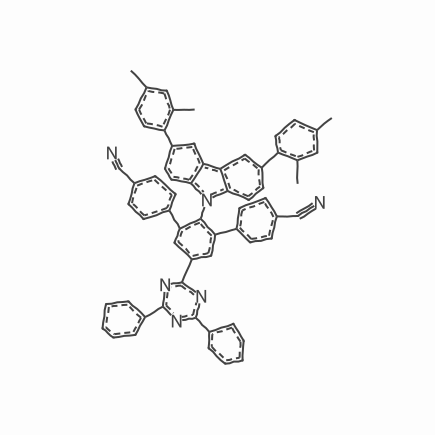 Cc1ccc(-c2ccc3c(c2)c2cc(-c4ccc(C)cc4C)ccc2n3-c2c(-c3ccc(C#N)cc3)cc(-c3nc(-c4ccccc4)nc(-c4ccccc4)n3)cc2-c2ccc(C#N)cc2)c(C)c1